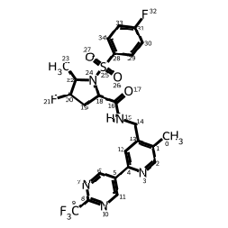 Cc1cnc(-c2cnc(C(F)(F)F)nc2)cc1CNC(=O)C1CC(F)C(C)N1S(=O)(=O)c1ccc(F)cc1